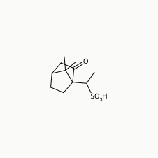 CC(C12CCC(CC1=O)C2(C)C)S(=O)(=O)O